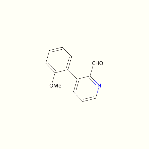 COc1ccccc1-c1cccnc1C=O